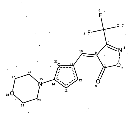 O=C1ON=C(C(F)(F)F)C1=Cc1ccc(N2CCOCC2)s1